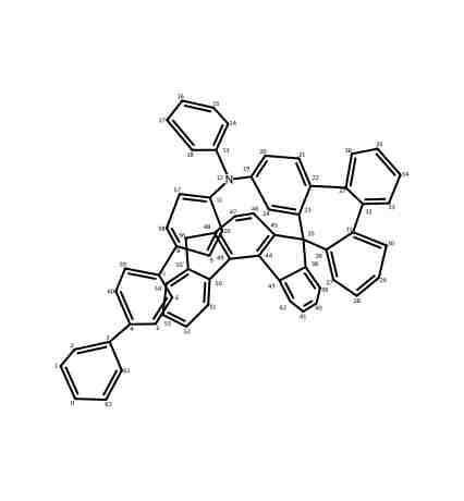 c1ccc(-c2ccc(-c3ccc(N(c4ccccc4)c4ccc5c(c4)C4(c6ccccc6-c6ccccc6-5)c5ccccc5-c5c4ccc4c5-c5ccccc5C4)cc3)cc2)cc1